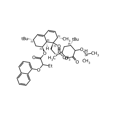 CCC(Oc1cccc2ccccc12)C(=O)O[C@H]1C[C@H](C(C)(C)C)C=C2C=C[C@H](C)[C@](CC[C@@H]3C[C@H](C(C)(C)C)C(O[SiH](C)C)C(=O)O3)(O[SiH](C)C)[C@H]21